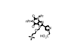 CCCn1c(=O)c2c(nc(-c3cnn(CC(=O)O)c3)n2COCC[Si](C)(C)C)n(CCC)c1=O